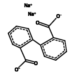 O=C([O-])c1ccccc1-c1ccccc1C(=O)[O-].[Na+].[Na+]